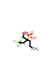 CCCC(CC)(CC(F)(F)F)P(=O)(O)O